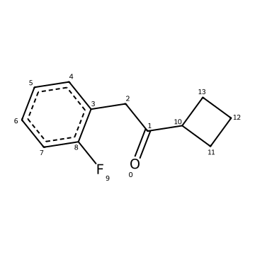 O=C(Cc1ccccc1F)C1CCC1